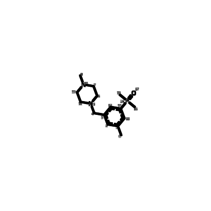 Cc1cc(CN2CCN(C)CC2)cc(P(C)(C)=O)c1